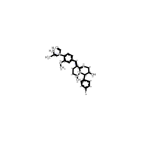 C=CN(/C=C(/C)N)c1ccc(/C=C2\CCN(C)N3C2=NCC(O)C3c2ccc(F)cc2)cc1OC